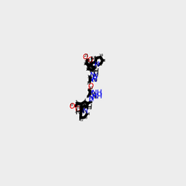 O=C1C=C2CC(/C=[N+]3\C=C(COCc4cn([C@@H]5CC6=CC(=O)O[C@@]67C[C@@H]5N5CCCC[C@@H]57)nn4)NN3)[C@@H]3C[C@@]2(O1)[C@H]1CCCCN31